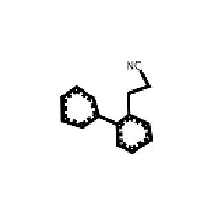 N#CCCc1ccccc1-c1ccccc1